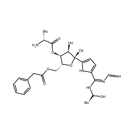 CC[C@H](C)C(O)N/C(=N/C=N)c1ccc([C@]2(C#N)O[C@H](COC(=O)Cc3ccccc3)[C@@H](OC(=O)[C@H](N)C(C)(C)C)[C@H]2O)[nH]1